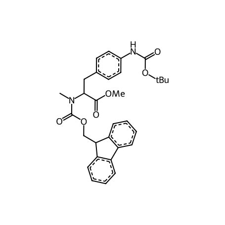 COC(=O)C(Cc1ccc(NC(=O)OC(C)(C)C)cc1)N(C)C(=O)OCC1c2ccccc2-c2ccccc21